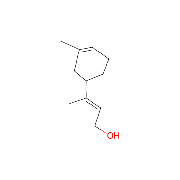 CC1=CCCC(C(C)=CCO)C1